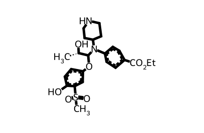 CCOC(=O)c1ccc(N(C2CCNCC2)C(Oc2ccc(O)c(S(C)(=O)=O)c2)[C@H](C)O)cc1